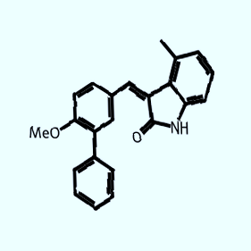 COc1ccc(C=C2C(=O)Nc3cccc(C)c32)cc1-c1ccccc1